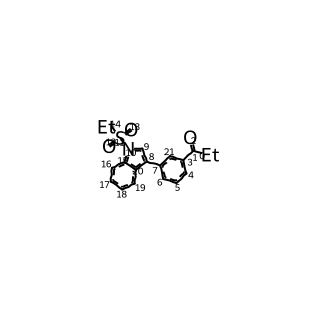 CCC(=O)c1cccc(-c2cn(S(=O)(=O)CC)c3ccccc23)c1